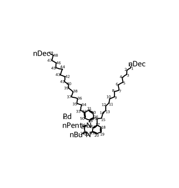 CCCCCCCCCCCCCCCCCCCCCCCCCCc1cccc(N=C(CCCC)C(CCCCC)=Nc2cccc(CCCCCCCCCCCCCCCCCCCCCCCCCC)c2)c1.[Pd]